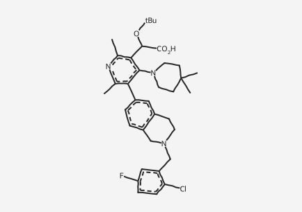 Cc1nc(C)c(C(OC(C)(C)C)C(=O)O)c(N2CCC(C)(C)CC2)c1-c1ccc2c(c1)CCN(Cc1cc(F)ccc1Cl)C2